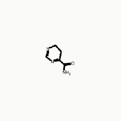 NC(=O)C1=NC=NCC1